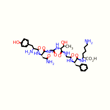 C[C@@H](O)[C@H](NC(=O)CNC(=O)[C@H](CC(N)=O)NC(=O)[C@@H](N)Cc1ccc(O)cc1)C(=O)NCC(=O)N[C@@H](Cc1ccccc1)C(=O)N[C@@H](CCCCN)C(=O)O